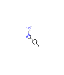 CCc1ccc(-c2cnn(CCNC)c2)cc1